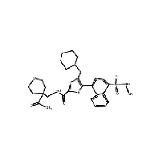 CC(C)(C)NS(=O)(=O)c1ccc(-c2sc(C(=O)NCC3(C(N)=O)CCOCC3)nc2CC2CCCCC2)c2ccccc12